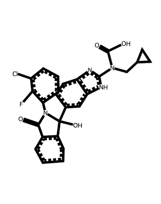 O=C(O)N(CC1CC1)c1nc2ccc(C3(O)c4ccccc4C(=O)N3c3cccc(Cl)c3F)cc2[nH]1